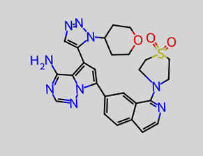 Nc1ncnn2c(-c3ccc4ccnc(N5CCS(=O)(=O)CC5)c4c3)cc(-c3cnnn3C3CCOCC3)c12